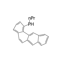 CCCPc1cccc2ccc3cc4ccccc4cc3c12